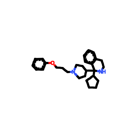 c1ccc(OCCCN2CCC(C3(C4CCCC4)NCCc4ccccc43)CC2)cc1